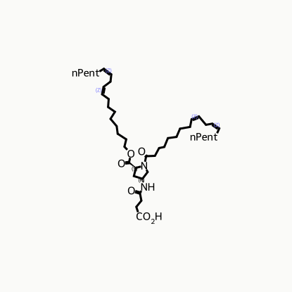 CCCCC/C=C\C/C=C\CCCCCCCCOC(=O)[C@@H]1C[C@@H](NC(=O)CCC(=O)O)CN1C(=O)CCCCCCC/C=C\C/C=C\CCCCC